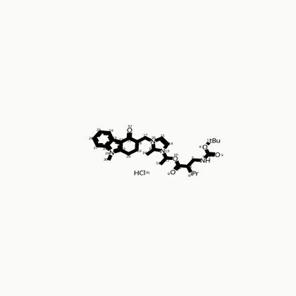 CC(C)C(CNC(=O)OC(C)(C)C)C(=O)OC(C)N1C=CN(CC2CCc3c(c4ccccc4n3C)C2=O)C1C.Cl